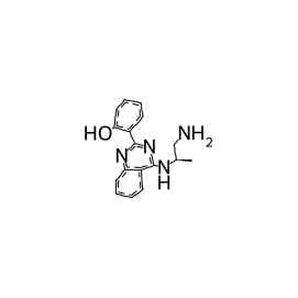 C[C@H](CN)Nc1nc(-c2ccccc2O)nc2ccccc12